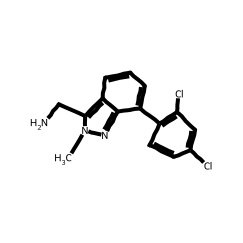 Cn1nc2c(-c3ccc(Cl)cc3Cl)cccc2c1CN